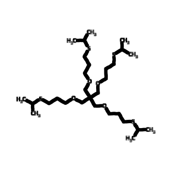 CC(C)SCCCOCC(COCCCSC(C)C)(COCCCSC(C)C)COCCCSC(C)C